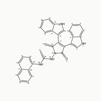 O=C1C(c2c[nH]c3ccccc23)=C(c2c[nH]c3ccccc23)C(=O)N1NC(=S)Nc1cccc2ccccc12